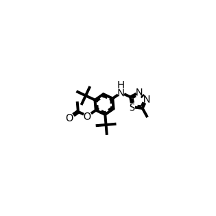 CC(=O)Oc1c(C(C)(C)C)cc(Nc2nnc(C)s2)cc1C(C)(C)C